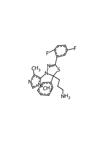 Cc1ncn(C)c1N1N=C(c2cc(F)ccc2F)SC1(CCCN)c1ccccc1